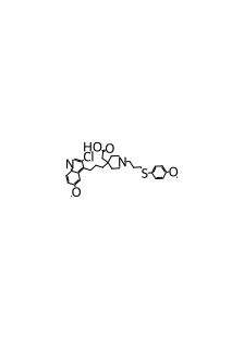 COc1ccc(SCCCN2CCC(CCCc3c(Cl)cnc4ccc(OC)cc34)(CC(=O)O)CC2)cc1